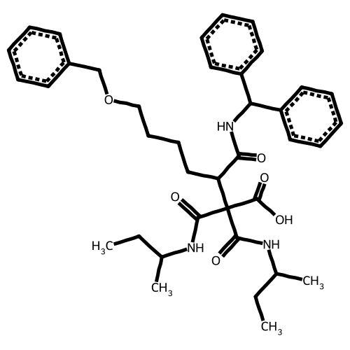 CCC(C)NC(=O)C(C(=O)O)(C(=O)NC(C)CC)C(CCCCOCc1ccccc1)C(=O)NC(c1ccccc1)c1ccccc1